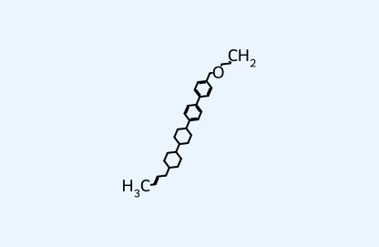 C=CCOCc1ccc(-c2ccc(C3CCC(C4CCC(CC=CC)CC4)CC3)cc2)cc1